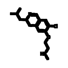 CNCCOc1cc2c(cc1Cl)C=NC(CC(C)C)C2